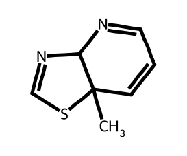 CC12C=CC=NC1N=CS2